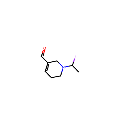 CC(I)N1CCC=C(C=O)C1